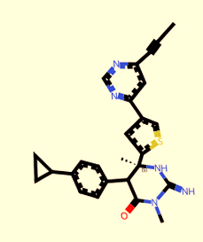 CC#Cc1cc(-c2csc([C@@]3(C)NC(=N)N(C)C(=O)C3c3ccc(C4CC4)cc3)c2)ncn1